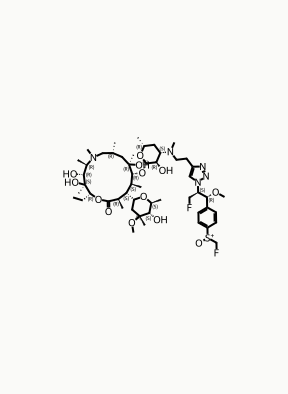 CC[C@H]1OC(=O)[C@H](C)[C@@H](C2C[C@@](C)(OC)[C@@H](O)[C@H](C)O2)[C@H](C)[C@@H](O[C@@H]2O[C@H](C)C[C@H](N(C)CCc3cn([C@H](CF)[C@H](OC)c4ccc([S+]([O-])CF)cc4)nn3)[C@H]2O)[C@](C)(O)C[C@@H](C)CN(C)[C@H](C)[C@@H](O)[C@]1(C)O